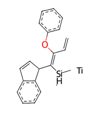 C=CC(Oc1ccccc1)=C(C1C=Cc2ccccc21)[SiH](C)C.[Ti]